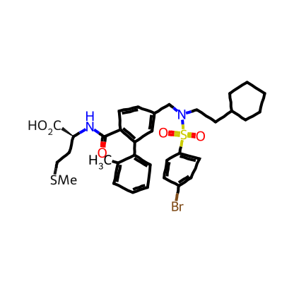 CSCC[C@H](NC(=O)c1ccc(CN(CCC2CCCCC2)S(=O)(=O)c2ccc(Br)cc2)cc1-c1ccccc1C)C(=O)O